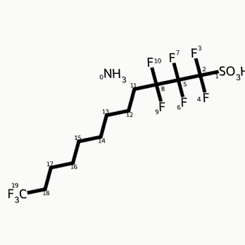 N.O=S(=O)(O)C(F)(F)C(F)(F)C(F)(F)CCCCCCCCC(F)(F)F